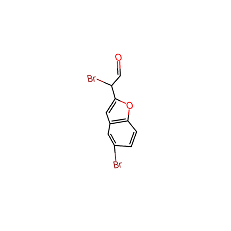 O=CC(Br)c1cc2cc(Br)ccc2o1